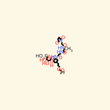 CC(C)C(=O)OC/C=C/c1ccc(O[C@@H]2O[C@H](C(=O)O)[C@@H](O)[C@H](O)[C@H]2O)c(NC(=O)CCNC(=O)[C@H](C)NC(=O)CCN2C(=O)C=CC2=O)c1